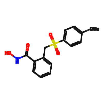 COc1ccc(S(=O)(=O)Cc2ccccc2C(=O)NO)cc1